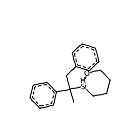 CC(Cc1ccccc1)(c1ccccc1)[SiH]1CCCCO1